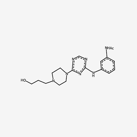 CC(=O)Nc1cccc(Nc2ncnc(N3CCN(CCCO)CC3)n2)c1